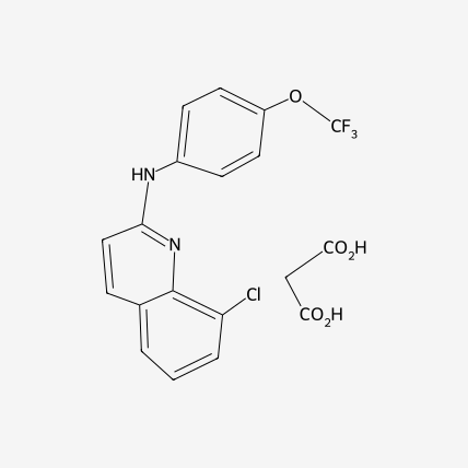 FC(F)(F)Oc1ccc(Nc2ccc3cccc(Cl)c3n2)cc1.O=C(O)CC(=O)O